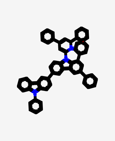 C1=C(c2ccccc2)C=C(n2c3ccc(-c4ccc5c(c4)c4ccccc4n5-c4ccccc4)cc3c3cc(-c4ccccc4)cc(-c4ccccc4)c32)NC1c1ccccc1